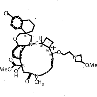 COC(=O)[C@@]1(O)CC(=O)N(C)CCC=C[C@H](OCCN2CC(OC)C2)[C@@H]2CC[C@H]2CN2C[C@@]3(CCCc4cc(Cl)ccc43)COc3ccc1cc32